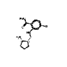 COC(=O)c1ccc(Cl)cc1NC[C@@H]1CCC[C@@H]1N